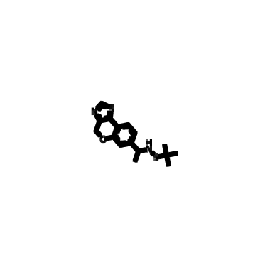 CC(NSC(C)(C)C)c1ccc2c(c1)OCc1ncsc1-2